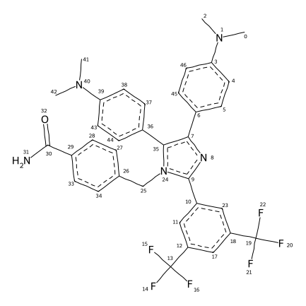 CN(C)c1ccc(-c2nc(-c3cc(C(F)(F)F)cc(C(F)(F)F)c3)n(Cc3ccc(C(N)=O)cc3)c2-c2ccc(N(C)C)cc2)cc1